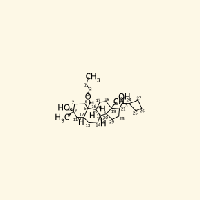 CCCOC[C@]12CC[C@@](C)(O)C[C@H]1CC[C@@H]1[C@@H]2CC[C@]2(C)C(C(O)C3CCC3)CC[C@@H]12